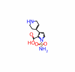 NS(=O)(=O)n1ccc(C2=CCNCC2)c1C(=O)O